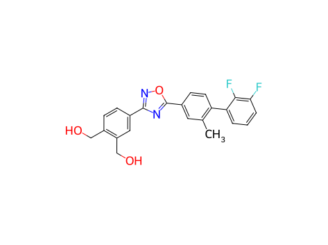 Cc1cc(-c2nc(-c3ccc(CO)c(CO)c3)no2)ccc1-c1cccc(F)c1F